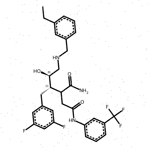 CCc1cccc(CNC[C@H](O)[C@@H](Cc2cc(F)cc(F)c2)C(CC(=O)Nc2cccc(C(F)(F)F)c2)C(N)=O)c1